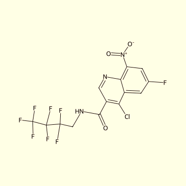 O=C(NCC(F)(F)C(F)(F)C(F)(F)F)c1cnc2c([N+](=O)[O-])cc(F)cc2c1Cl